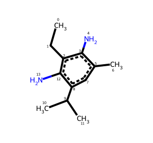 CCc1c(N)c(C)cc(C(C)C)c1N